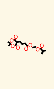 C=C(C)C(=O)OCCOC(=O)CCCC1C(=O)OC(C)(C)OC1=O